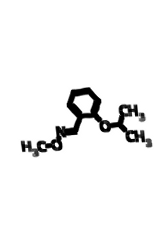 CON=Cc1ccccc1OC(C)C